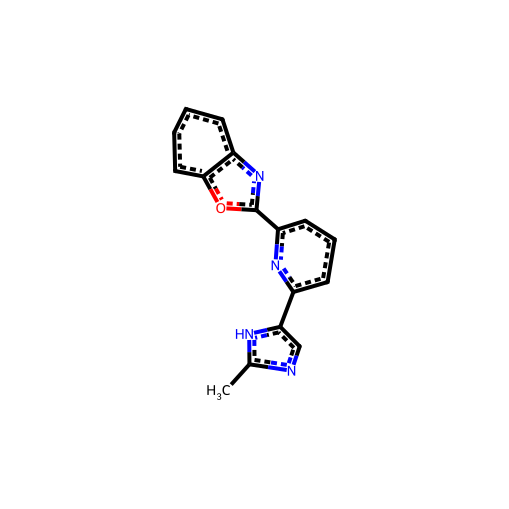 Cc1ncc(-c2cccc(-c3nc4ccccc4o3)n2)[nH]1